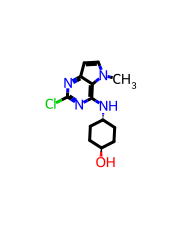 Cn1ccc2nc(Cl)nc(N[C@H]3CC[C@H](O)CC3)c21